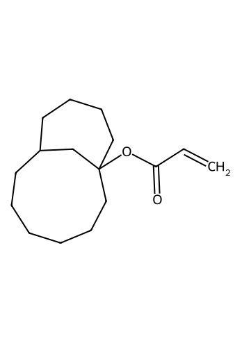 C=CC(=O)OC12CCCCCCC(CCCC1)C2